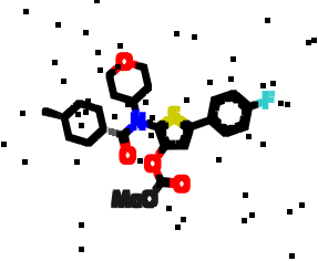 COC(=O)Oc1cc(-c2ccc(F)cc2)sc1N(C(=O)[C@H]1CC[C@H](C)CC1)C1CCOCC1